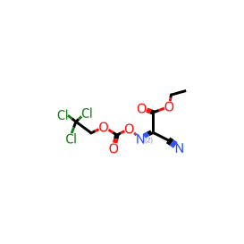 CCOC(=O)/C(C#N)=N\OC(=O)OCC(Cl)(Cl)Cl